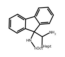 CCCCCCCCNC1(C(N)CCCCCCC)c2ccccc2-c2ccccc21